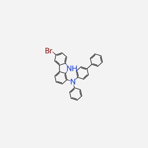 Brc1ccc2[nH]c3c(N(c4ccccc4)c4ccc(-c5ccccc5)cc4)cccc3c2c1